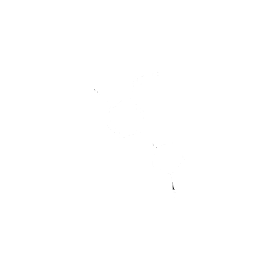 CCOc1cc(N2CC[C@@H](C)C2)ccc1N